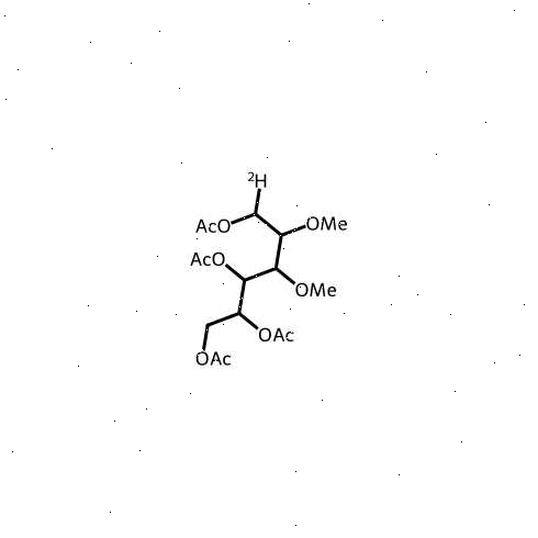 [2H]C(OC(C)=O)C(OC)C(OC)C(OC(C)=O)C(COC(C)=O)OC(C)=O